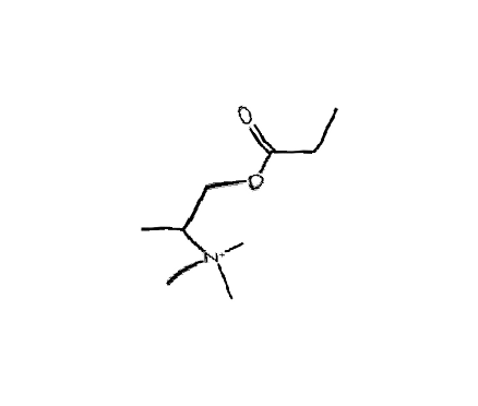 CCC(=O)OCC(C)[N+](C)(C)C